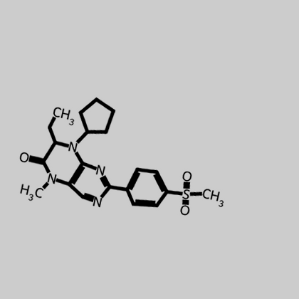 CCC1C(=O)N(C)c2cnc(-c3ccc(S(C)(=O)=O)cc3)nc2N1C1CCCC1